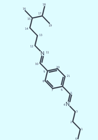 CCCC/N=C/c1ccc(/C=N/CCCC(C)C(C)C)cc1